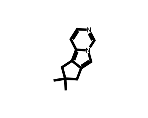 CC1(C)Cc2cn3cnccc3c2C1